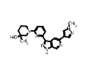 Cn1cc(-c2cc3c(-c4cccc(N5CCCC(C)(O)C5)n4)n[nH]c3cn2)cn1